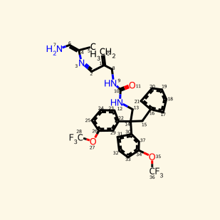 C=C(/C=N\C(C)=C/N)CNC(=O)NCC(Cc1ccccc1)(c1cccc(OC(F)(F)F)c1)c1cccc(OC(F)(F)F)c1